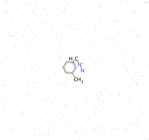 C=[N+]=[N-].Cc1ccccc1